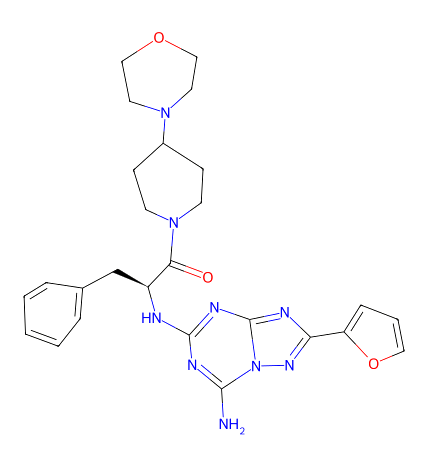 Nc1nc(N[C@@H](Cc2ccccc2)C(=O)N2CCC(N3CCOCC3)CC2)nc2nc(-c3ccco3)nn12